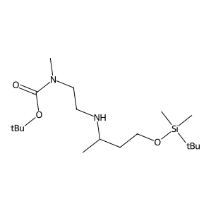 CC(CCO[Si](C)(C)C(C)(C)C)NCCN(C)C(=O)OC(C)(C)C